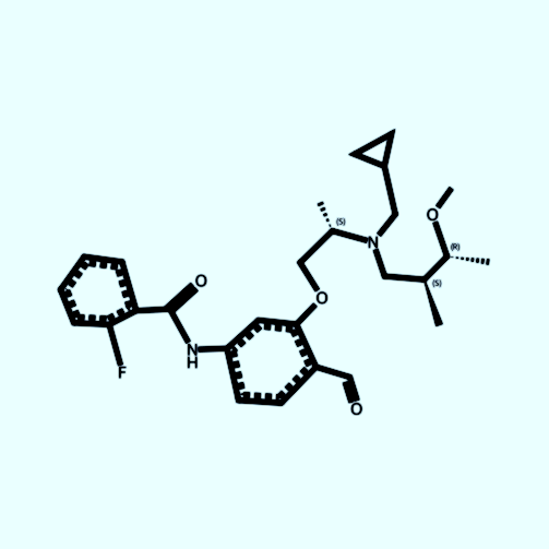 CO[C@H](C)[C@@H](C)CN(CC1CC1)[C@@H](C)COc1cc(NC(=O)c2ccccc2F)ccc1C=O